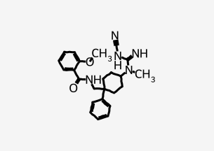 COc1ccccc1C(=O)NCC1(c2ccccc2)CCC(N(C)C(=N)NC#N)CC1